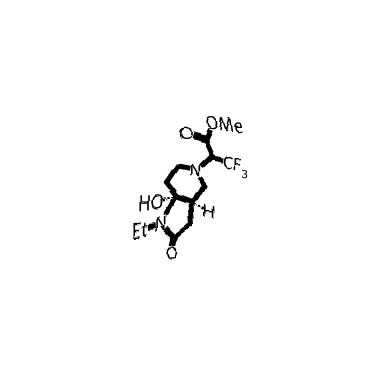 CCN1C(=O)C[C@@H]2CN(C(C(=O)OC)C(F)(F)F)CC[C@@]21O